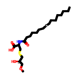 CCCCCCCCCCCCCCCC(=O)NC(CSC[C@H](O)COC)C(=O)O